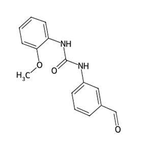 COc1ccccc1NC(=O)Nc1cccc(C=O)c1